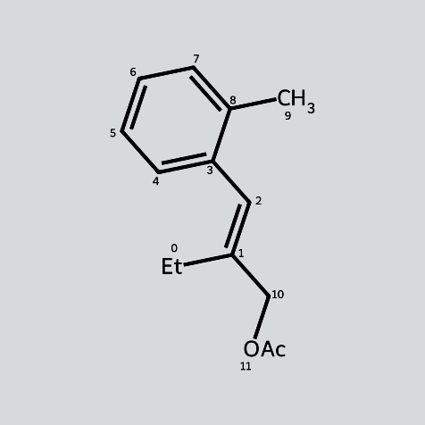 CC/C(=C\c1ccccc1C)COC(C)=O